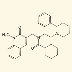 Cn1c(=O)c(CN(CCN2CCCCC2c2ccccc2)C(=O)C2CCCCC2)cc2ccccc21